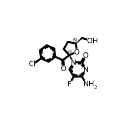 Nc1nc(=O)n([C@@]2(C(=O)c3cccc(Cl)c3)CC[C@@H](CO)O2)cc1F